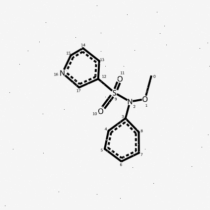 CON(c1ccccc1)S(=O)(=O)c1cccnc1